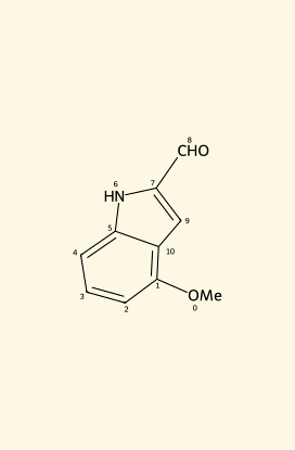 COc1cccc2[nH]c(C=O)cc12